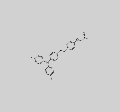 CC(=O)COc1ccc(CCc2ccc(N(c3ccc(C)cc3)c3ccc(C)cc3)cc2)cc1